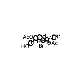 CC(=O)OC1CC2CC[C@@H]3[C@@H](CC[C@]4(C)C(OC(C)=O)C(N5CC[N+](C)(C)CC5)C[C@@H]34)[C@@]2(C)CC1N1CCC(O)CC1.[Br-]